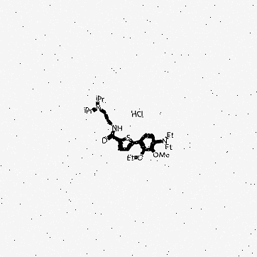 CCOc1c(-c2ccc(C(=O)NCCN(C(C)C)C(C)C)s2)ccc(N(CC)CC)c1OC.Cl